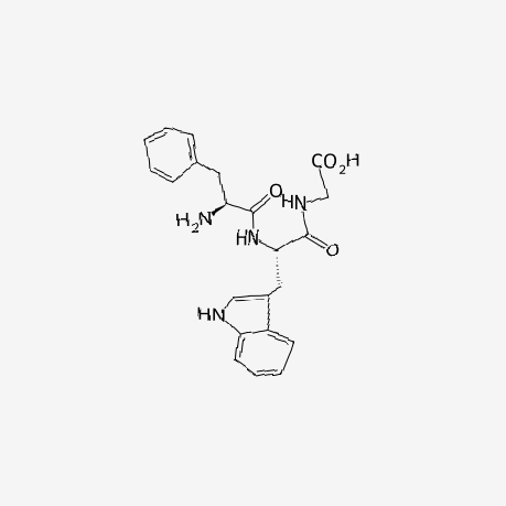 N[C@@H](Cc1ccccc1)C(=O)N[C@@H](Cc1c[nH]c2ccccc12)C(=O)NCC(=O)O